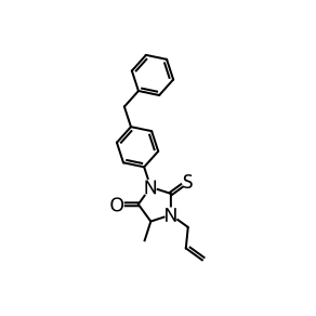 C=CCN1C(=S)N(c2ccc(Cc3ccccc3)cc2)C(=O)C1C